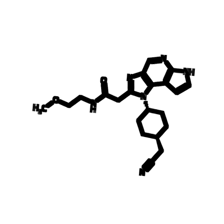 COCCNC(=O)Cc1nc2cnc3[nH]ccc3c2n1[C@H]1CC[C@H](CC#N)CC1